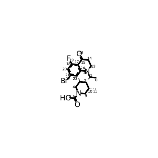 CC([C@H]1CCN(C(=O)O)C[C@H]1C)N1CCC(=O)c2c(F)cc(Br)cc21